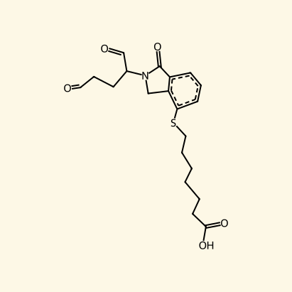 O=CCCC(C=O)N1Cc2c(SCCCCCCC(=O)O)cccc2C1=O